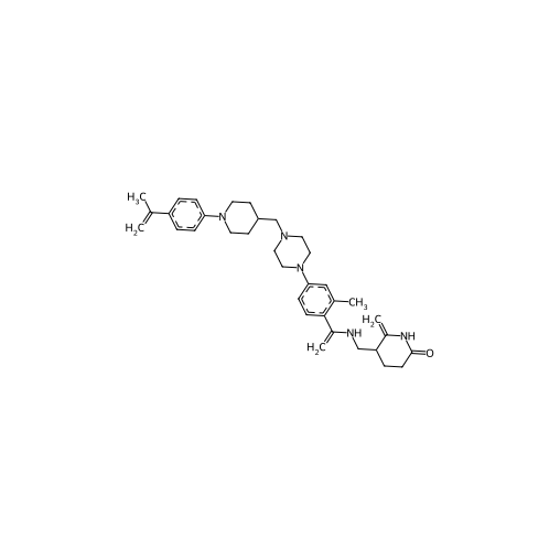 C=C(C)c1ccc(N2CCC(CN3CCN(c4ccc(C(=C)NCC5CCC(=O)NC5=C)c(C)c4)CC3)CC2)cc1